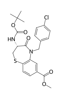 COC(=O)c1ccc2c(c1)N(Cc1ccc(Cl)cc1)C(=O)[C@@H](NC(=O)OC(C)(C)C)CS2